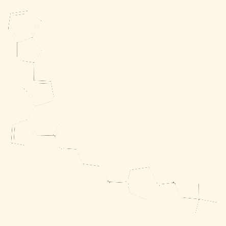 CC(C)(C)OC(=O)N1CCN(C(=O)CCCNC(=O)c2sccc2-c2nc(-c3cc4ccccc4o3)cs2)CC1